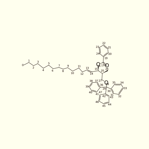 CCCCCCCCCCCCC/C=C/[C@@H](OC(=O)c1ccccc1)[C@@H](C)COC(c1ccccc1)(c1ccccc1)c1ccccc1